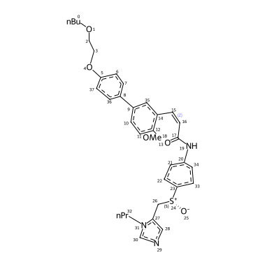 CCCCOCCOc1ccc(-c2ccc(OC)c(/C=C\C(=O)Nc3ccc([S@+]([O-])Cc4cncn4CCC)cc3)c2)cc1